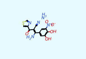 N.N#C/C(C(=O)c1cscn1)=C(/N)c1cc(O)c(O)c([N+](=O)[O-])c1